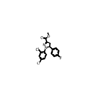 COC(=O)C1=NN(c2ccc(Cl)cc2Cl)C(c2ccc(F)cc2)C1